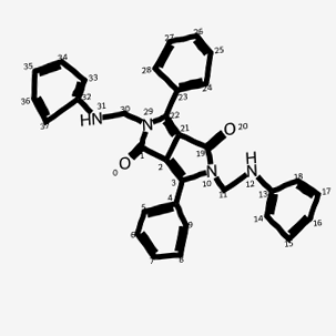 O=C1C2=C(c3ccccc3)N(CNc3ccccc3)C(=O)C2=C(c2ccccc2)N1CNc1ccccc1